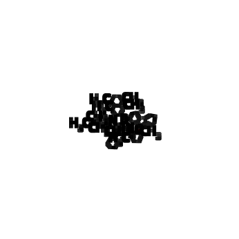 Cc1cc(C(C)(C)C)ccc1N1c2cc3c(cc2B2c4ccc5c(c4N(c4ccccc4C)c4cc(-c6ccccc6)cc1c42)C(C)(C)c1ccccc1-5)C(C)(C)CCC3(C)C